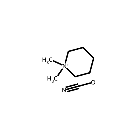 C[N+]1(C)CCCCC1.N#C[O-]